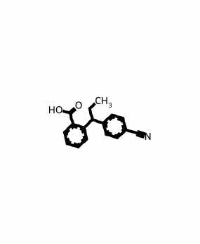 CCC(c1ccc(C#N)cc1)c1ccccc1C(=O)O